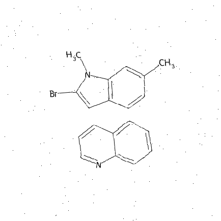 Cc1ccc2cc(Br)n(C)c2c1.c1ccc2ncccc2c1